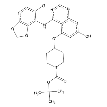 CC(C)(C)OC(=O)N1CCC(Oc2cc(O)cc3ncnc(Nc4c(Cl)ccc5c4OCO5)c23)CC1